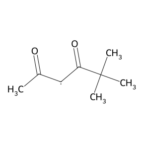 CC(=O)[CH]C(=O)C(C)(C)C